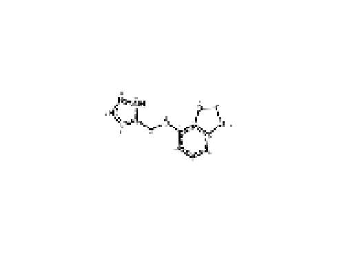 [c]1cc2c(c(OCc3nnn[nH]3)c1)OCO2